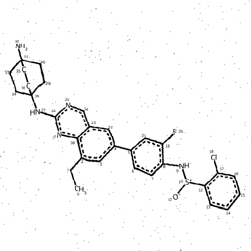 CCc1cc(-c2ccc(N[S+]([O-])c3ccccc3Cl)c(F)c2)cc2cnc(NC34CCC(N)(CC3)CC4)nc12